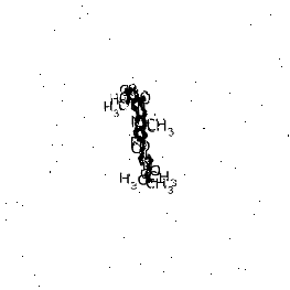 CC[C@@]1(O)C(=O)OCc2c1cc1n(c2=O)Cc2c-1nc1cc(F)c(OC(=O)N3CCN(C(=O)OC(C)(C)C)CC3)cc1c2C